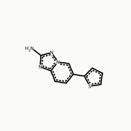 Nc1nc2ccc(-c3cccs3)cn2n1